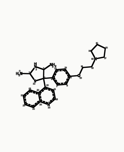 NC1NC(N)C(c2ccc(OCCN3CCCC3)cc2)(c2ccnc3ccccc23)S1